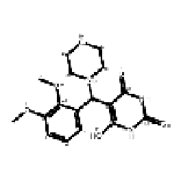 COc1cccc(C(c2c(O)[nH]c(=S)[nH]c2=O)N2CCOCC2)c1OC